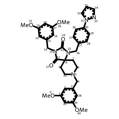 COc1cc(CN2CCC3(CC2)C(=O)N(Cc2cc(OC)cc(OC)c2)C(=O)N3Cc2ccc(-n3cccn3)cc2)cc(OC)c1